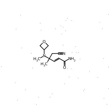 CN(C1COC1)C(C)(C=CC(N)=O)CC#N